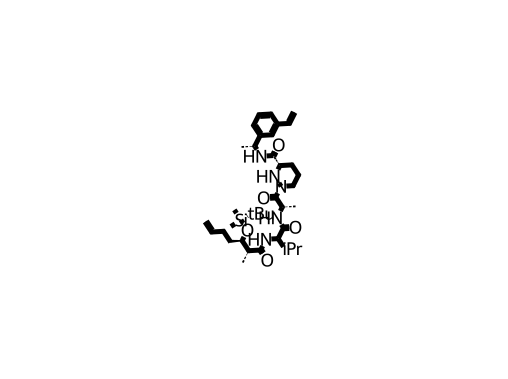 C=CCC[C@@H](O[Si](C)(C)C(C)(C)C)[C@@H](C)C(=O)NC(C(=O)N[C@@H](C)C(=O)N1CCC[C@@H](C(=O)N[C@H](C)c2cccc(C=C)c2)N1)C(C)C